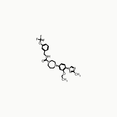 CCOc1cc(N2CCCN(C(=O)NCc3cccc(OC(F)(F)F)c3)CC2)ccc1-n1cnc(C)n1